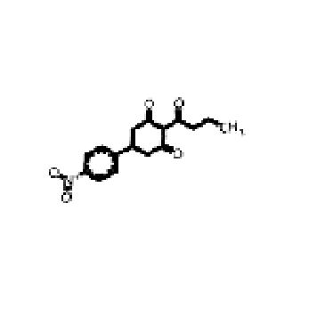 CCCC(=O)C1C(=O)CC(c2ccc([N+](=O)[O-])cc2)CC1=O